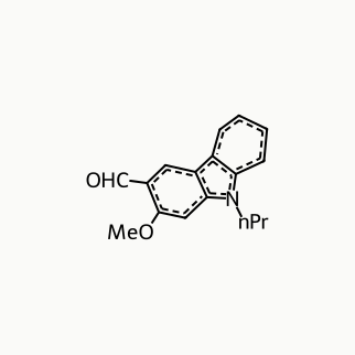 CCCn1c2ccccc2c2cc(C=O)c(OC)cc21